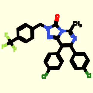 Cc1nc(-c2ccc(Cl)cc2)c(-c2ccc(Cl)cc2)c2nn(Cc3ccc(C(F)(F)F)cc3)c(=O)n12